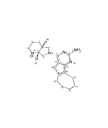 Nc1nc(N2C[C@H]3CCCN[C@H]3C2)c2sc3c(c2n1)CCCCC3